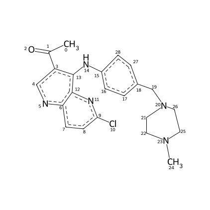 CC(=O)c1cnc2ccc(Cl)nc2c1Nc1ccc(CN2CCN(C)CC2)cc1